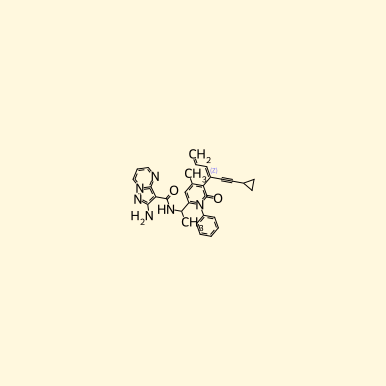 C=C/C=C(/C#CC1CC1)c1c(C)cc(C(C)NC(=O)c2c(N)nn3cccnc23)n(-c2ccccc2)c1=O